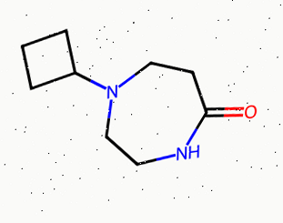 O=C1CCN(C2CCC2)CCN1